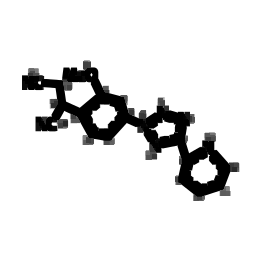 COc1cc(-n2nnc(-c3ccccn3)n2)ccc1C(C#N)CC#N